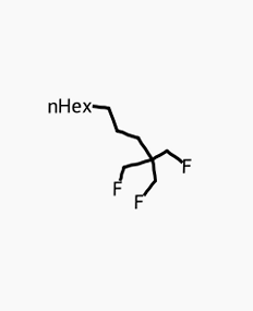 CCCCCCCCCC(CF)(CF)CF